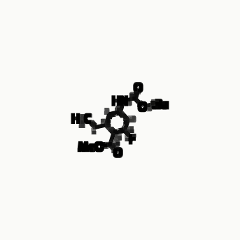 C=Cc1cc(NC(=O)OC(C)(C)C)cc(F)c1C(=O)OC